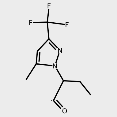 CCC([C]=O)n1nc(C(F)(F)F)cc1C